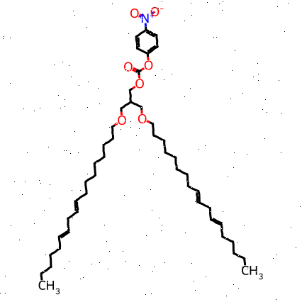 CCCCCC=CCC=CCCCCCCCCOCC(COCCCCCCCCC=CCC=CCCCCC)COC(=O)Oc1ccc([N+](=O)[O-])cc1